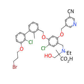 CCN(Cc1cc(Cl)c(OCc2cccc(-c3cccc(OCCCBr)c3Cl)c2C)cc1OCc1cncc(C#N)c1)C(C)(CO)C(=O)O